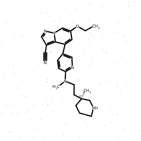 CCOc1cc(-c2ccc(N(C)CC[C@]3(C)CCCNC3)nc2)c2c(C#N)cnn2c1